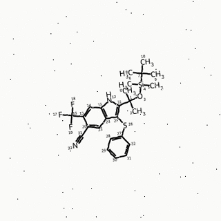 CC(C)(O[Si](C)(C)C(C)(C)C)c1[nH]c2cc(C(F)(F)F)c(C#N)cc2c1Sc1ccccc1